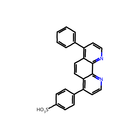 O=S(=O)(O)c1ccc(-c2ccnc3c2ccc2c(-c4ccccc4)ccnc23)cc1